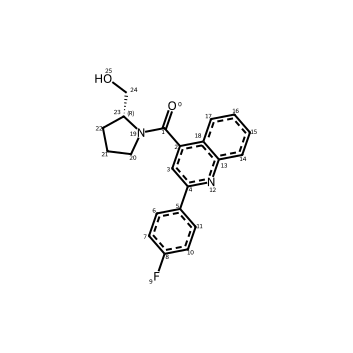 O=C(c1cc(-c2ccc(F)cc2)nc2ccccc12)N1CCC[C@@H]1CO